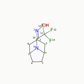 ON=C1CC2CCC(C1)N2CC(F)(F)F